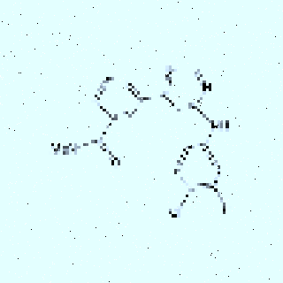 CNC(=O)c1cccc(-c2cc(Nc3ccc(Cl)c(Cl)c3)ncn2)c1